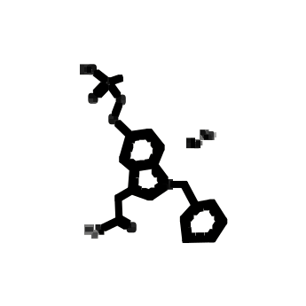 CP(=O)(O)OOc1ccc2c(c1)c(CC(N)=O)cn2Cc1ccccc1.[Na].[Na]